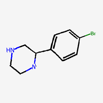 Brc1ccc(C2CNCC[N]2)cc1